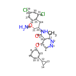 Cc1nncc(Oc2cccc(C3CC3)c2)c1C(=O)NC(CON)Cc1ccc(Cl)cc1Cl